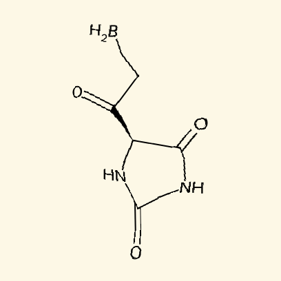 BCC(=O)[C@@H]1NC(=O)NC1=O